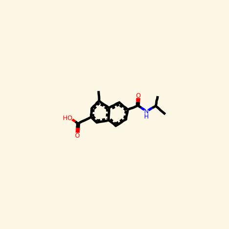 Cc1cc(C(=O)O)cc2ccc(C(=O)NC(C)C)cc12